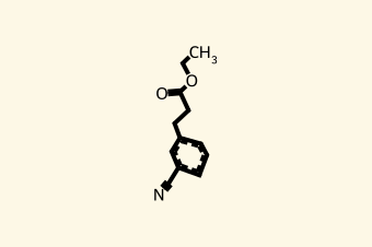 CCOC(=O)CCc1cccc(C#N)c1